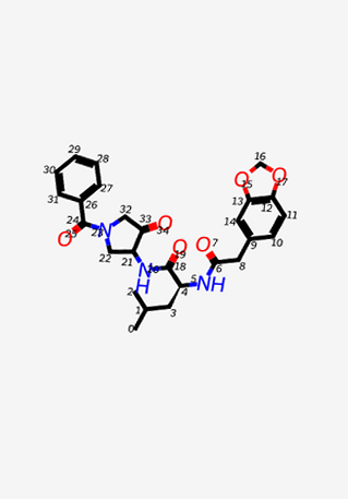 CC(C)C[C@H](NC(=O)Cc1ccc2c(c1)OCO2)C(=O)NC1CN(C(=O)c2ccccc2)CC1=O